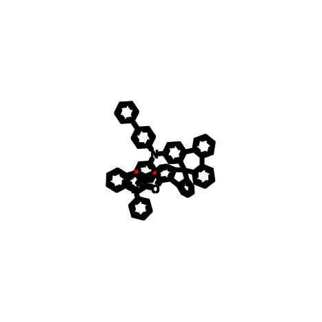 c1ccc(-c2ccc(N(c3ccc4c(c3)C3(c5ccccc5-c5ccccc5-4)c4ccccc4-c4c3ccc3c4oc4ccccc43)c3ccc4c(c3)c3ccccc3n4-c3ccccc3)cc2)cc1